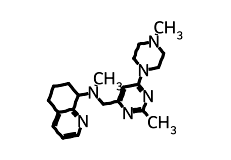 Cc1nc(CN(C)C2CCCc3cccnc32)cc(N2CCN(C)CC2)n1